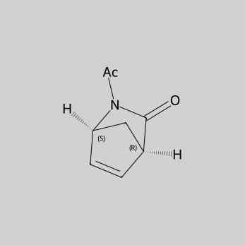 CC(=O)N1C(=O)[C@H]2C=C[C@@H]1C2